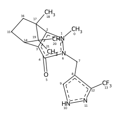 Cn1c2c(c(=O)n1Cc1c[nH]nc1C(F)(F)F)C1CCC2(C)C1(C)C